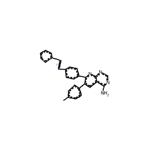 Cc1ccc(-c2cc3c(N)ncnc3nc2-c2ccc(/C=C/c3ccccc3)cc2)cc1